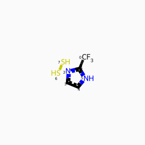 FC(F)(F)c1ncc[nH]1.SS